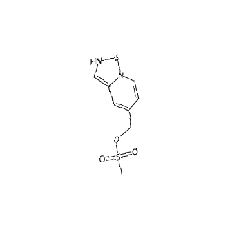 CS(=O)(=O)OCC1=CC2=CNSN2C=C1